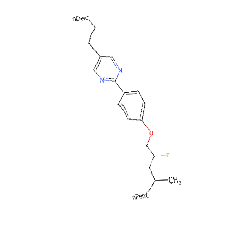 CCCCCCCCCCCCc1cnc(-c2ccc(OCC(F)CC(C)CCCCC)cc2)nc1